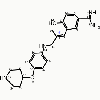 C/C(=C\c1cc(C(=N)N)ccc1O)CNc1ccc(OC2CCNCC2)cc1